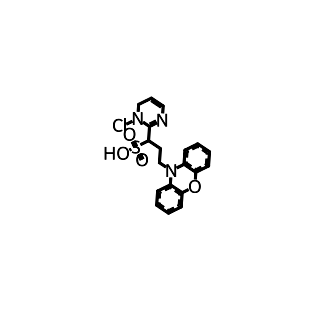 O=S(=O)(O)C(CCN1c2ccccc2Oc2ccccc21)C1=NC=CCN1Cl